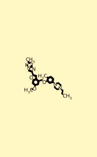 CCCN1CCN(c2ccc(C)c(OCc3cc(OC)cc4oc(-c5cn6nc(C)sc6n5)cc34)c2)CC1